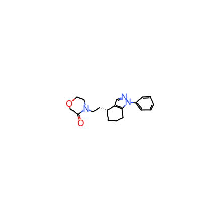 O=C1COCCN1CC[C@H]1CCCc2c1cnn2-c1ccccc1